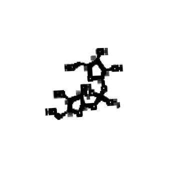 CC(C)(O[C@H]1O[C@H](CO)[C@H](O)[C@@H]1O)O[C@H]1O[C@H](CO)[C@H](O)[C@@H]1O